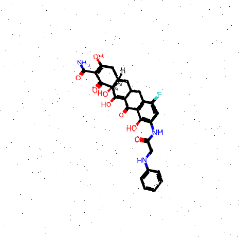 NC(=O)C1=C(O)C[C@@H]2CC3Cc4c(F)cc(NC(=O)CNc5ccccc5)c(O)c4C(=O)C3=C(O)[C@]2(O)C1=O